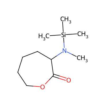 CN(C1CCCCOC1=O)[Si](C)(C)C